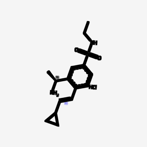 CCNS(=O)(=O)c1ccc(/C=C/C2CC2)c([C@H](C)N)c1.Cl